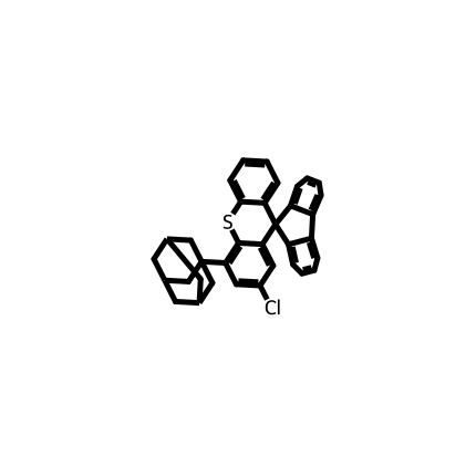 Clc1cc(C23CC4CC(CC(C4)C2)C3)c2c(c1)C1(c3ccccc3S2)c2ccccc2-c2ccccc21